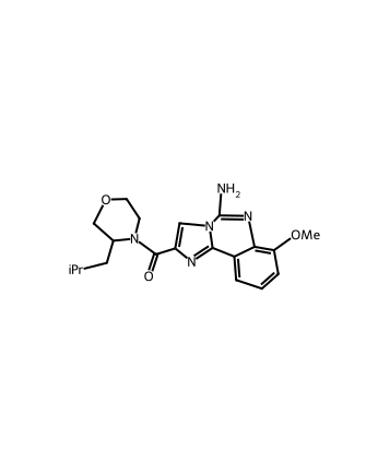 COc1cccc2c1nc(N)n1cc(C(=O)N3CCOCC3CC(C)C)nc21